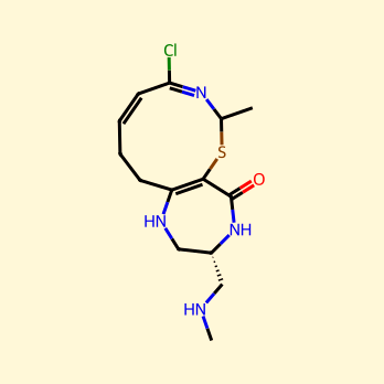 CNC[C@@H]1CNC2=C(SC(C)/N=C(Cl)\C=C/CC2)C(=O)N1